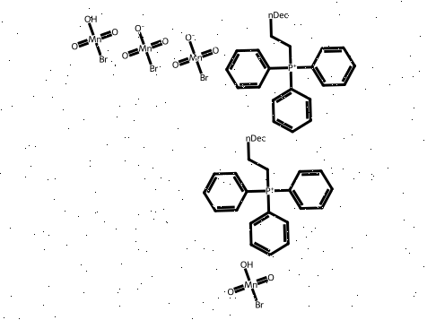 CCCCCCCCCCCC[P+](c1ccccc1)(c1ccccc1)c1ccccc1.CCCCCCCCCCCC[P+](c1ccccc1)(c1ccccc1)c1ccccc1.[O]=[Mn](=[O])([O-])[Br].[O]=[Mn](=[O])([O-])[Br].[O]=[Mn](=[O])([OH])[Br].[O]=[Mn](=[O])([OH])[Br]